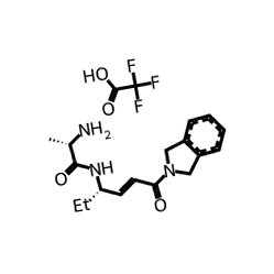 CC[C@@H](/C=C/C(=O)N1Cc2ccccc2C1)NC(=O)[C@H](C)N.O=C(O)C(F)(F)F